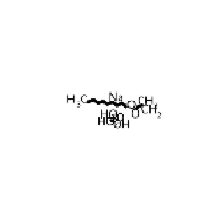 C=C(C)C(=O)OCCC[CH]([Na])CCCCCC.O=P(O)(O)O